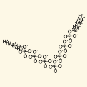 O=P([O-])([O-])[O-].O=P([O-])([O-])[O-].O=P([O-])([O-])[O-].O=P([O-])([O-])[O-].O=P([O-])([O-])[O-].O=P([O-])([O-])[O-].O=P([O-])([O-])[O-].[Ag+].[Ag+].[Ag+].[H+].[H+].[H+].[Na+].[Na+].[Na+].[Zr+4].[Zr+4].[Zr+4]